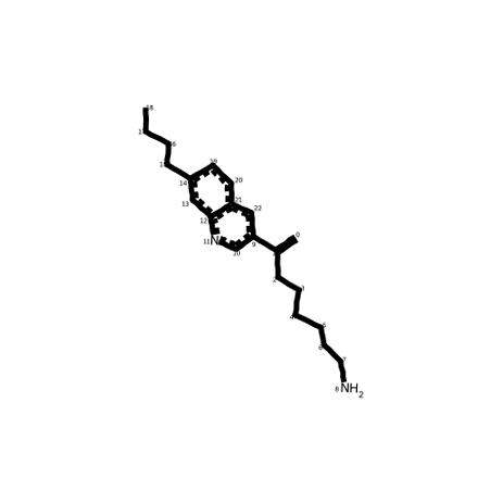 C=C(CCCCCCN)c1cnc2cc(CCCC)ccc2c1